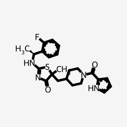 C[C@H](NC1=NC(=O)C(C)(CC2CCN(C(=O)c3ccc[nH]3)CC2)S1)c1ccccc1F